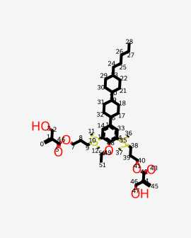 C=C(CO)C(=O)OCCCS(C)(C)c1cc(C2CCC(C3CCC(CCCCC)CC3)CC2)cc(S(C)(C)CCCOC(=O)C(=C)CO)c1OCC